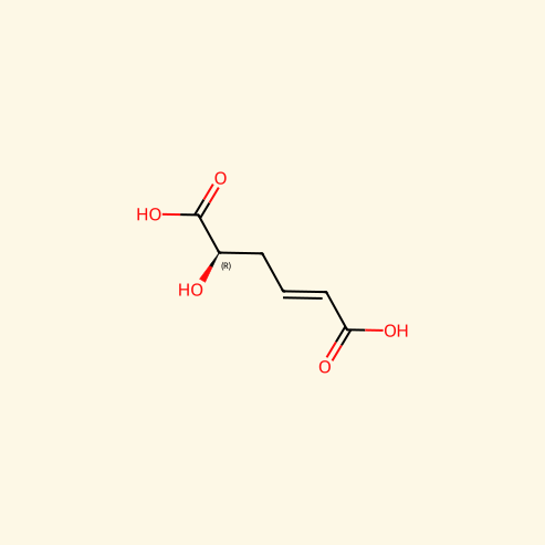 O=C(O)C=CC[C@@H](O)C(=O)O